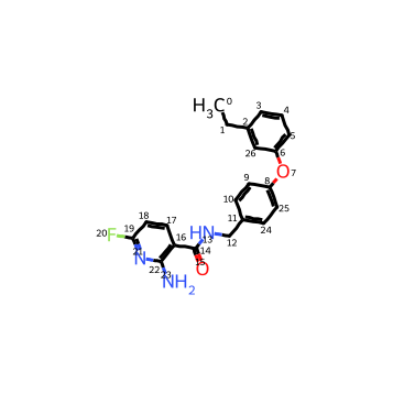 CCc1cccc(Oc2ccc(CNC(=O)c3ccc(F)nc3N)cc2)c1